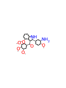 COc1ccc(-c2[nH]c3cccc(OC)c3c2C(=O)c2cc(OC)c(OC)c(OC)c2)cc1N